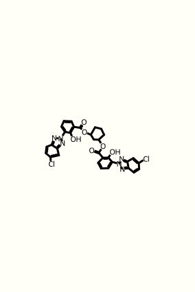 O=C(OC1CCCC(OC(=O)c2cccc(-n3nc4ccc(Cl)cc4n3)c2O)C1)c1cccc(-n2nc3ccc(Cl)cc3n2)c1O